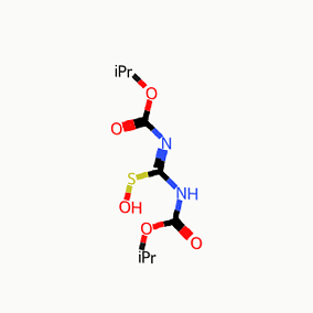 CC(C)OC(=O)N=C(NC(=O)OC(C)C)SO